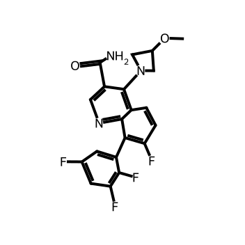 COC1CN(c2c(C(N)=O)cnc3c(-c4cc(F)cc(F)c4F)c(F)ccc23)C1